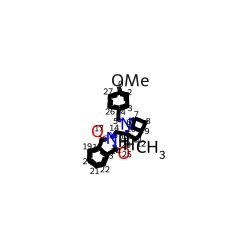 COc1ccc(CN2C3CC(C3)[C@H](C)[C@H]2CN2C(=O)c3ccccc3C2=O)cc1